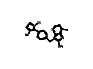 CCCc1nc2c(C)ccnc2n1Cc1ccc(-c2c(C#N)ccn2CC)cc1